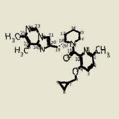 Cc1ccc(OCC2CC2)c(C(=O)N2CCCC[C@H]2Cc2cn3cnc(C)c(C)c3n2)n1